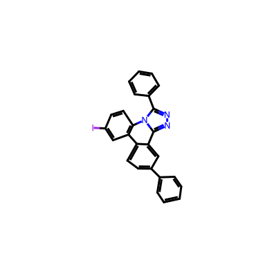 Ic1ccc2c(c1)c1ccc(-c3ccccc3)cc1c1nnc(-c3ccccc3)n21